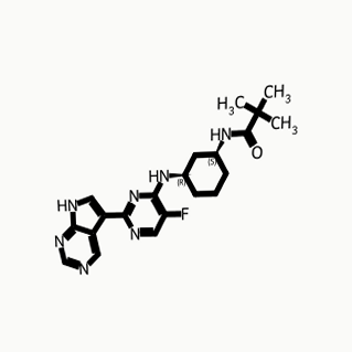 CC(C)(C)C(=O)N[C@H]1CCC[C@@H](Nc2nc(-c3c[nH]c4ncncc34)ncc2F)C1